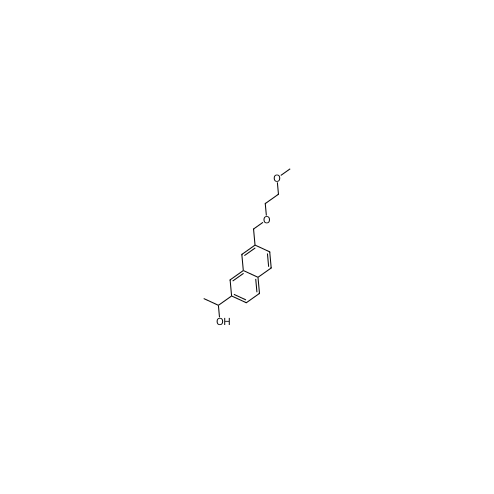 COCCOCc1ccc2ccc(C(C)O)cc2c1